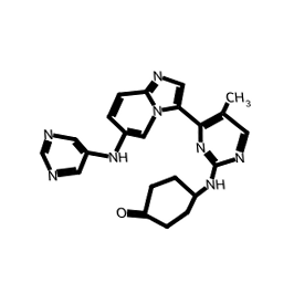 Cc1cnc(NC2CCC(=O)CC2)nc1-c1cnc2ccc(Nc3cncnc3)cn12